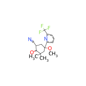 COC1(c2cccc(C(F)(F)F)n2)CC(C#N)C(=O)C(C)(C)C1